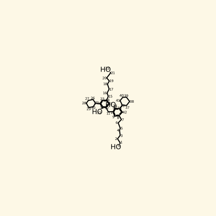 OCCCCCCCc1cc(Cc2cc(CCCCCCCO)cc(C3CCCCC3)c2O)c(O)c(C2CCCCC2)c1